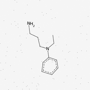 CCN(CCCN)c1ccccc1